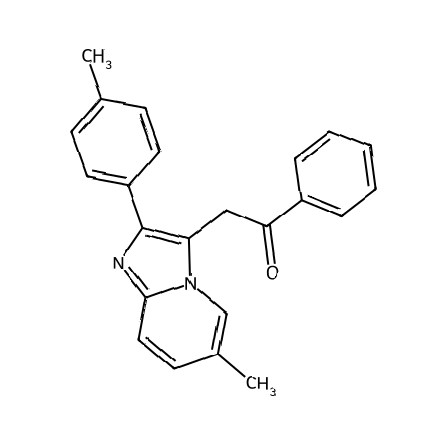 Cc1ccc(-c2nc3ccc(C)cn3c2CC(=O)c2ccccc2)cc1